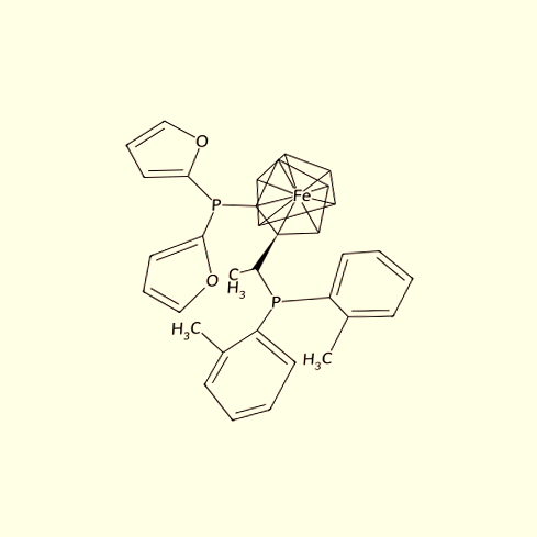 Cc1ccccc1P(c1ccccc1C)C(C)[C@@]12[CH]3[CH]4[CH]5[C]1(P(c1ccco1)c1ccco1)[Fe]45321678[CH]2[CH]1[CH]6[CH]7[CH]28